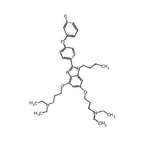 CCCCn1c(-c2ccc(Oc3cccc(Cl)c3)cc2)nc2c(OCCCN(CC)CC)cc(OCCCN(CC)CC)cc21